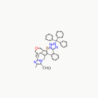 CCc1nc(C)c(C=O)n1Cc1c2ccocc-2c(Br)c1-c1ccccc1-c1nnn(C(c2ccccc2)(c2ccccc2)c2ccccc2)n1